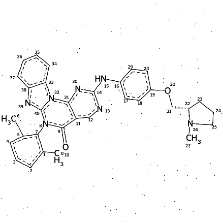 Cc1cccc(C)c1-n1c(=O)c2cnc(Nc3ccc(OC[C@@H]4CCCN4C)cc3)nc2n2c3ccccc3nc12